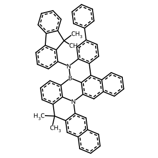 CC1(C)c2cc3ccccc3cc2N2c3cc4ccccc4c4c3B(c3cccc1c32)N(c1cccc2c1C(C)(C)c1ccccc1-2)c1cc(-c2ccccc2)ccc1-4